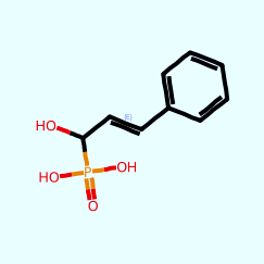 O=P(O)(O)C(O)/C=C/c1ccccc1